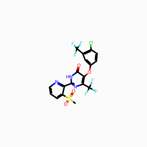 CS(=O)(=O)c1cccnc1-c1nc(C(F)(F)F)c(Oc2ccc(Cl)c(C(F)(F)F)c2)c(=O)[nH]1